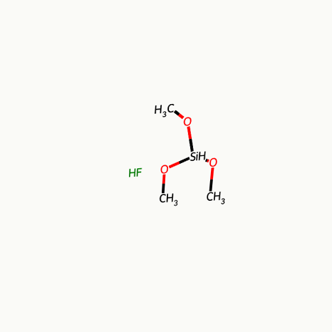 CO[SiH](OC)OC.F